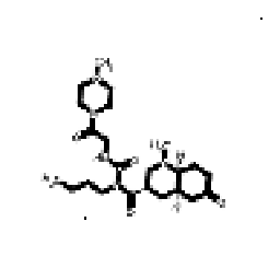 CCCCN(C(=O)NCC(=O)N1CCN(C)CC1)C(=O)[C@@H]1C[C@@H]2CC(=O)CC[C@H]2N(C)C1